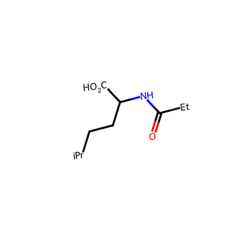 CCC(=O)NC(CCC(C)C)C(=O)O